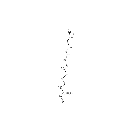 C=CC(=O)OCCCOCCCOCCCN